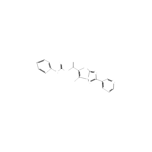 Cc1c(C(C)OC(=O)Nc2ccccc2)sc2nc(-c3cccnc3)nn12